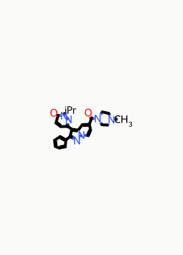 CC(C)n1nc(-c2c(-c3ccccc3)nn3ccc(C(=O)N4CCN(C)CC4)cc23)ccc1=O